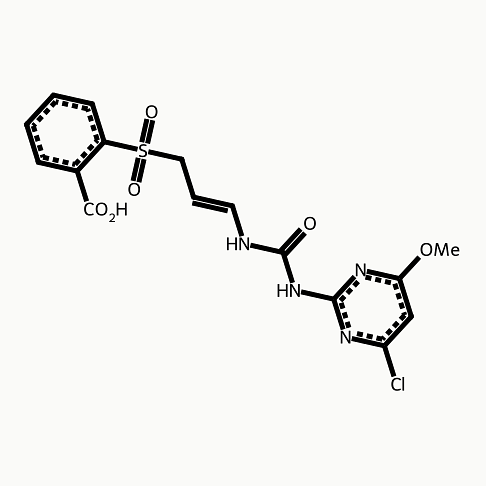 COc1cc(Cl)nc(NC(=O)NC=CCS(=O)(=O)c2ccccc2C(=O)O)n1